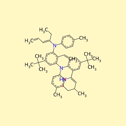 C=C/C=C(\CC)N(c1ccc(C)cc1)c1cc(C(C)(C)C)cc(N(c2ccc(C)cc2)c2ccc(C(C)(C)C)cc2C2=CC(C)CCN2)c1C=C